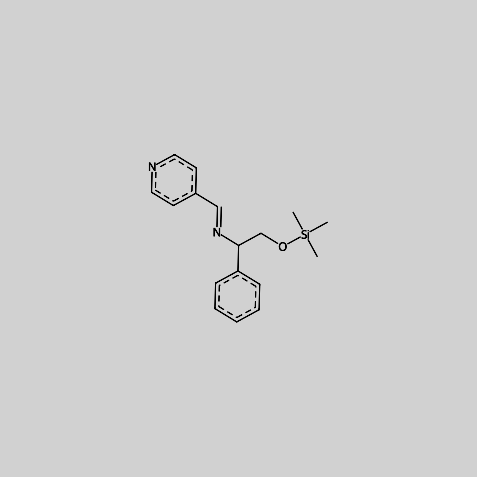 C[Si](C)(C)OCC(N=Cc1ccncc1)c1ccccc1